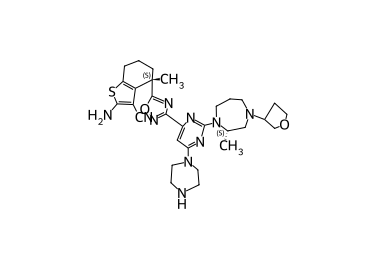 C[C@H]1CN(C2CCOC2)CCCN1c1nc(-c2noc([C@@]3(C)CCCc4sc(N)c(C#N)c43)n2)cc(N2CCNCC2)n1